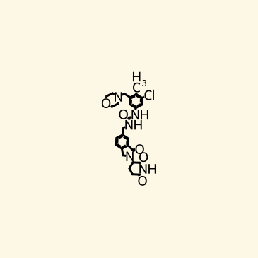 Cc1c(Cl)cc(NC(=O)NCc2ccc3c(c2)C(=O)N(C2CCC(=O)NC2=O)C3)cc1CN1CCOCC1